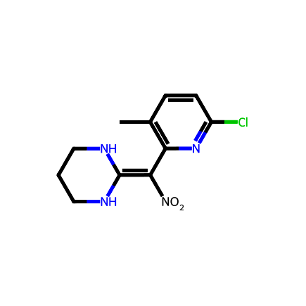 Cc1ccc(Cl)nc1C(=C1NCCCN1)[N+](=O)[O-]